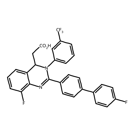 O=C(O)CC1c2cccc(F)c2N=C(c2ccc(-c3ccc(F)cc3)cc2)N1c1cccc(C(F)(F)F)c1